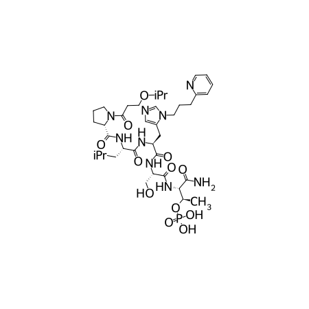 CC(C)C[C@H](NC(=O)[C@@H]1CCCN1C(=O)CCOC(C)C)C(=O)N[C@@H](Cc1cncn1CCCc1ccccn1)C(=O)N[C@@H](CO)C(=O)N[C@H](C(N)=O)[C@@H](C)OP(=O)(O)O